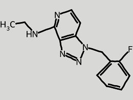 CCNc1nccc2c1nnn2Cc1ccccc1F